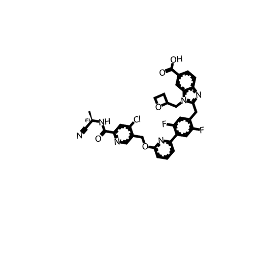 C[C@H](C#N)NC(=O)c1cc(Cl)c(COc2cccc(-c3cc(F)c(Cc4nc5ccc(C(=O)O)cc5n4CC4CCO4)cc3F)n2)cn1